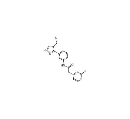 O=C(Cc1cccc(F)c1)Nc1cccc(-c2n[nH]cc2CBr)c1